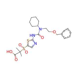 CC(C)(C(=O)O)S(=O)(=O)c1cnc(NC(=O)N(CCOCc2ccccc2)C2CCCCC2)s1